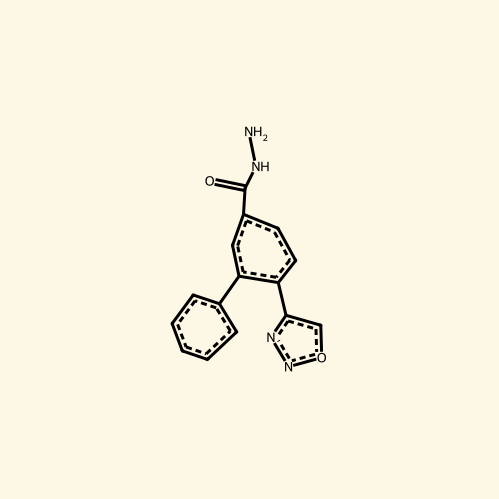 NNC(=O)c1ccc(-c2conn2)c(-c2ccccc2)c1